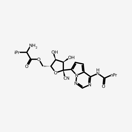 CCCC(=O)Nc1ncnn2c([C@]3(C#N)O[C@H](COC(=O)C(N)C(C)C)[C@@H](O)[C@H]3O)ccc12